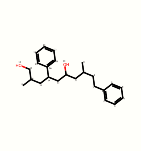 CC(CCc1ccccc1)CC(O)CC(CC(C)CO)c1ccccc1